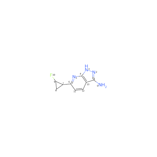 Nc1n[nH]c2nc(C3CC3F)ccc12